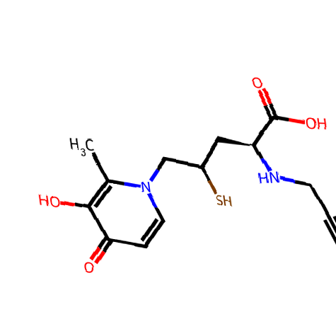 C#CCN[C@@H](CC(S)Cn1ccc(=O)c(O)c1C)C(=O)O